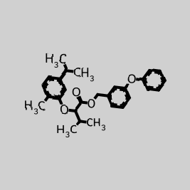 Cc1ccc(C(C)C)cc1OC(C(=O)OCc1cccc(Oc2ccccc2)c1)C(C)C